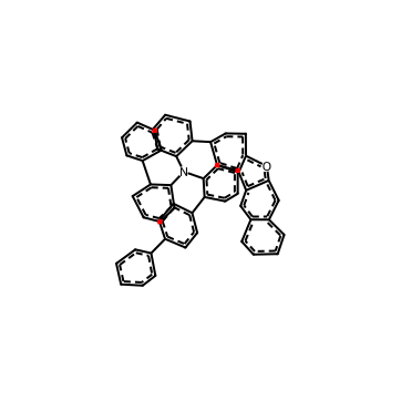 c1ccc(-c2ccc(-c3ccccc3N(c3ccccc3-c3ccccc3)c3ccccc3-c3ccc4oc5cc6ccccc6cc5c4c3)cc2)cc1